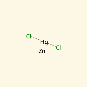 [Cl][Hg][Cl].[Zn]